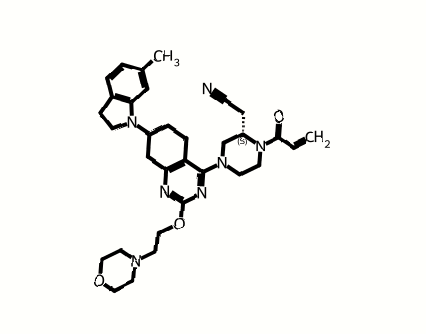 C=CC(=O)N1CCN(c2nc(OCCN3CCOCC3)nc3c2CCC(N2CCc4ccc(C)cc42)C3)C[C@@H]1CC#N